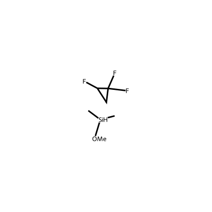 CO[SiH](C)C.FC1CC1(F)F